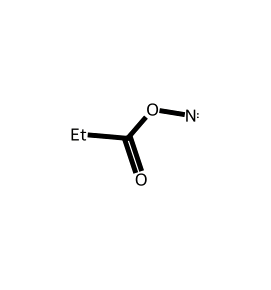 CCC(=O)O[N]